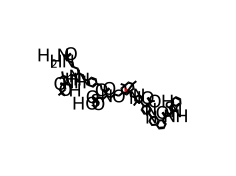 Cc1c(-c2ccc(N3CCc4cccc(C(=O)Nc5nc6ccccc6s5)c4C3)nc2C(=O)O)cnn1CC12CC3(C)CC(C)(C1)CC(OCCN(CCS(=O)(=O)O)C(=O)OCc1ccc(NC[C@H](CCCNC(N)=O)NC[C@@H](NC(=O)OC(C)(C)C)C(C)C)cc1)(C3)C2